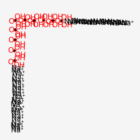 O=C(O)O.O=C(O)O.O=C(O)O.O=C(O)O.O=C(O)O.O=C(O)O.O=C(O)O.O=C(O)O.O=C(O)O.O=C(O)O.[Na+].[Na+].[Na+].[Na+].[Na+].[Na+].[Na+].[Na+].[Na+].[Na+].[Na+].[Na+].[Na+].[Na+].[Na+].[Na+].[Na+].[Na+].[Na+].[Na+].[Na+].[Na+].[Na+].[Na+].[Na+].[Na+].[Na+].[Na+].[Na+].[Na+].[Na+].[Na+].[Na+].[Na+].[Na+].[Na+].[Na+].[Na+].[Na+].[Na+].[Na+].[Na+].[Na+].[Na+]